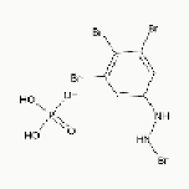 BrNNc1cc(Br)c(Br)c(Br)c1.O=P(O)(O)O